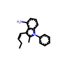 CC/C=C\c1c(C)n(-c2ccccc2)c2cccc(N)c12